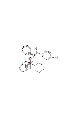 O=C(C1CCCCC1)N1C2CCC1CN(Cc1c(-c3ccc(Cl)cc3)nc3ccccn13)C2